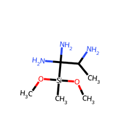 CO[Si](C)(OC)C(N)(N)C(C)N